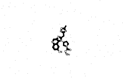 Cc1nc(Cc2nc3cnc4ccc(C#N)cc4c3n2[C@@H]2CCN(C(=O)OC(C)(C)C)C2)no1